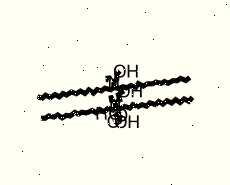 CCCCCCCCCCCCCCCCCCC(CCCCCCCCCCCCCCCCCC)N(CC)CCO.CCCCCCCCCCCCCCCCCCC(CCCCCCCCCCCCCCCCCC)N(CC)CCO.O=S(=O)(O)O